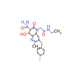 CCNC(=O)Cn1c(=O)c(C(N)=O)c(O)c2nc(C)c(Cc3ccc(F)cc3)cc21